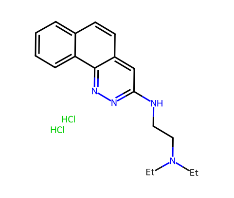 CCN(CC)CCNc1cc2ccc3ccccc3c2nn1.Cl.Cl